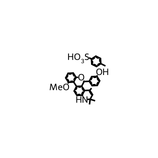 COc1cccc2c1-c1ccc3c(c1C(c1cccc(O)c1)O2)C(C)=CC(C)(C)N3.Cc1ccc(S(=O)(=O)O)cc1